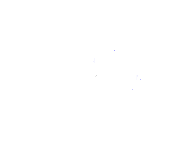 COC(=O)C1c2nn(Cc3ccccc3)cc2[C@H]2CN1C(=O)N2OCc1ccccc1